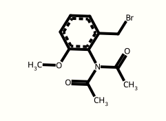 COc1cccc(CBr)c1N(C(C)=O)C(C)=O